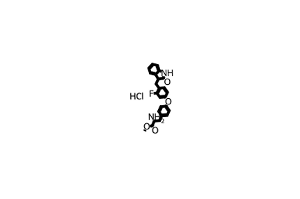 COC(=O)C(N)Cc1ccc(Oc2ccc(CC3C(=O)Nc4ccccc43)c(F)c2)cc1.Cl